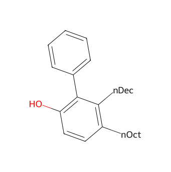 CCCCCCCCCCc1c(CCCCCCCC)ccc(O)c1-c1ccccc1